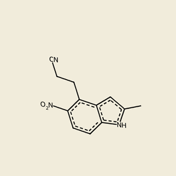 Cc1cc2c(CCC#N)c([N+](=O)[O-])ccc2[nH]1